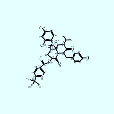 CC(C)N1CC2(S(=O)(=O)c3ccc(Cl)cc3Cl)NCC(NC(=O)c3ccc(C(F)(F)F)nc3)C(=O)N2C(Cc2ccc(Cl)cc2)C1=O